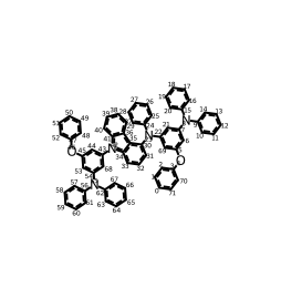 c1ccc(Oc2cc(N(c3ccccc3)c3ccccc3)cc(N(c3ccccc3)c3cccc4c3c3ccccc3n4-c3cc(Oc4ccccc4)cc(N(c4ccccc4)c4ccccc4)c3)c2)cc1